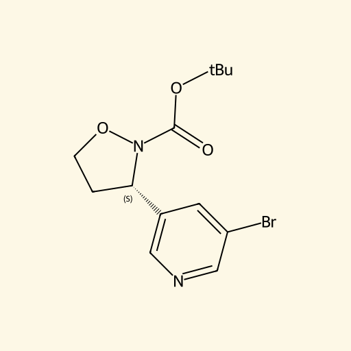 CC(C)(C)OC(=O)N1OCC[C@H]1c1cncc(Br)c1